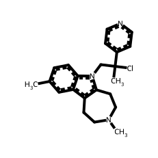 Cc1ccc2c(c1)c1c(n2CC(C)(Cl)c2ccncc2)CCN(C)CC1